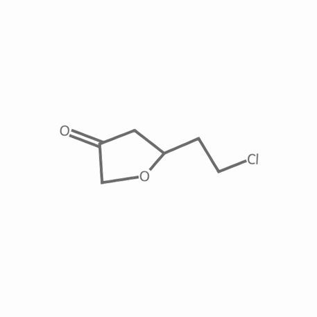 O=C1COC(CCCl)C1